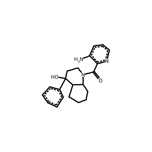 Nc1cccnc1C(=O)N1CCC(O)(c2ccccc2)C2CCCCC21